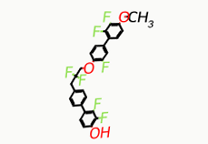 COc1ccc(-c2ccc(OCC(F)(F)Cc3ccc(-c4ccc(O)c(F)c4F)cc3)c(F)c2)c(F)c1F